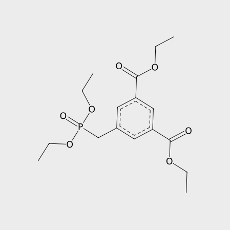 CCOC(=O)c1cc(CP(=O)(OCC)OCC)cc(C(=O)OCC)c1